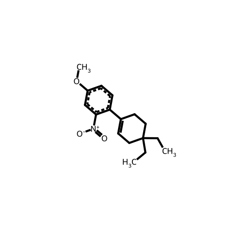 CCC1(CC)CC=C(c2ccc(OC)cc2[N+](=O)[O-])CC1